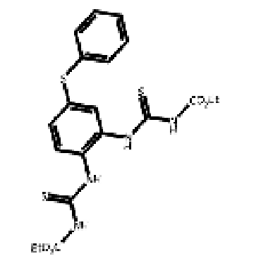 CCOC(=O)NC(=S)Nc1ccc(Sc2ccccc2)cc1NC(=S)NC(=O)OCC